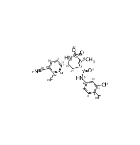 CN1[C@H](C(=O)Nc2ccc(F)c(Cl)c2)C[C@H](c2ccc(C#N)c(F)c2)NS1(=O)=O